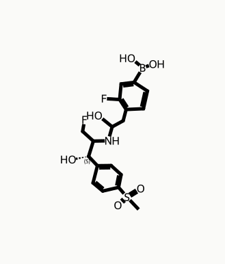 CS(=O)(=O)c1ccc([C@H](O)C(CF)NC(O)Cc2ccc(B(O)O)cc2F)cc1